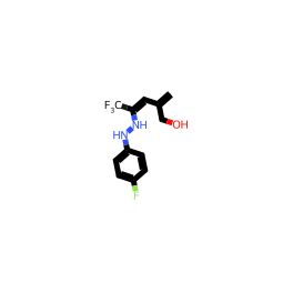 C=C(/C=C(\NNc1ccc(F)cc1)C(F)(F)F)CO